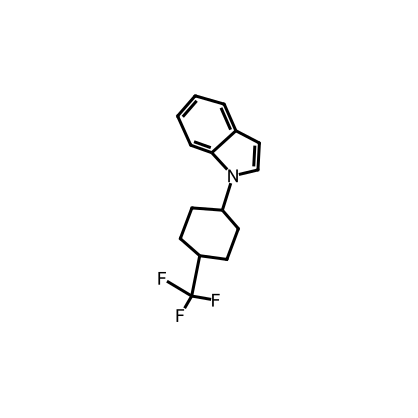 FC(F)(F)C1CCC(n2ccc3ccccc32)CC1